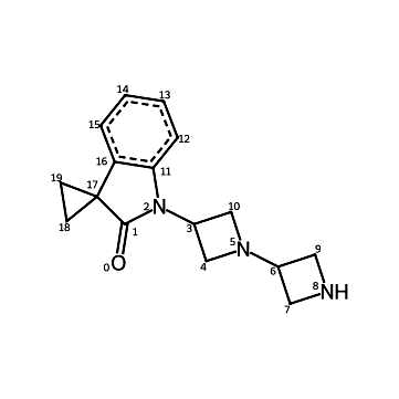 O=C1N(C2CN(C3CNC3)C2)c2ccccc2C12CC2